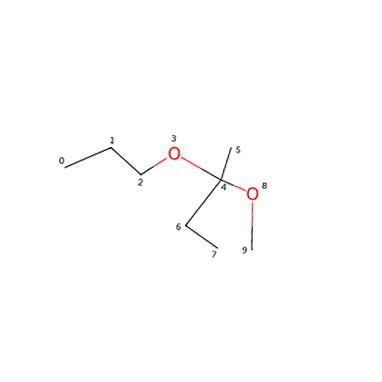 CCCOC(C)(CC)OC